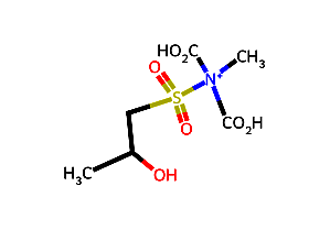 CC(O)CS(=O)(=O)[N+](C)(C(=O)O)C(=O)O